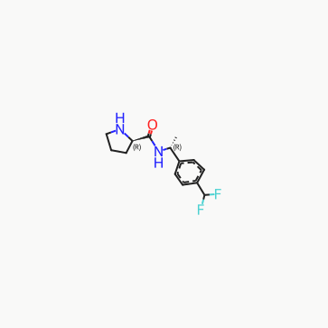 C[C@@H](NC(=O)[C@H]1CCCN1)c1ccc(C(F)F)cc1